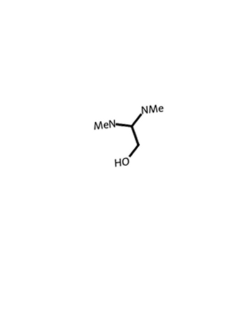 CNC(CO)NC